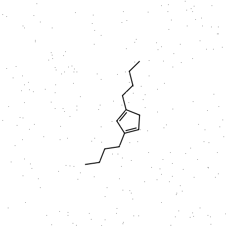 CCCCC1=[C]CC(CCCC)=C1